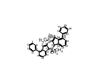 CCCC[Si]1(C)C2=Cc3c(-c4ccccc4)cccc3[CH]2[Hf]([CH3])([CH3])[CH]2C1=Cc1c(-c3ccccc3)cccc12